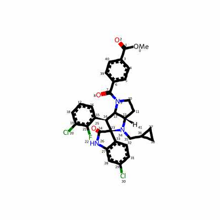 COC(=O)c1ccc(C(=O)N2CC[C@H]3C2[C@H](c2cccc(Cl)c2F)[C@]2(C(=O)Nc4cc(Cl)ccc42)N3CC2CC2)cc1